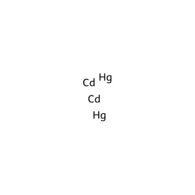 [Cd].[Cd].[Hg].[Hg]